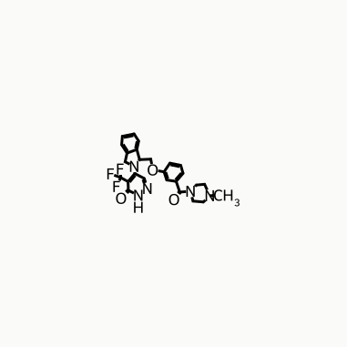 CN1CCN(C(=O)c2cccc(OCC3c4ccccc4CN3c3cn[nH]c(=O)c3C(F)(F)F)c2)CC1